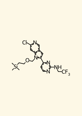 C[Si](C)(C)CCOCn1c(-c2ccnc(NCC(F)(F)F)n2)cc2cnc(Cl)cc21